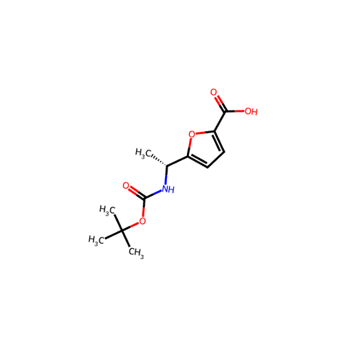 C[C@@H](NC(=O)OC(C)(C)C)c1ccc(C(=O)O)o1